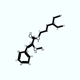 CCC(CC)CCCOC(=O)C(=Cc1ccccc1)OC